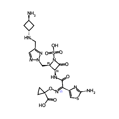 Nc1nc(/C(=N/OC2(C(=O)O)CC2)C(=O)N[C@@H]2C(=O)N(S(=O)(=O)O)[C@@H]2Cn2ncc(CN[C@H]3C[C@H](N)C3)n2)cs1